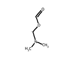 CN(C)[CH]OC=O